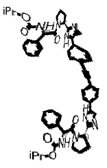 CC(C)OC(=O)N[C@@H](C(=O)N1CCC[C@H]1c1ncc(-c2ccc(C#Cc3ccc(-c4cnc([C@@H]5CCCN5C(=O)[C@H](NC(=O)OC(C)C)c5ccccc5)[nH]4)cc3)cc2)[nH]1)c1ccccc1